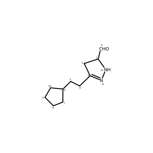 O=CC1CC(CCC2CCCC2)=NN1